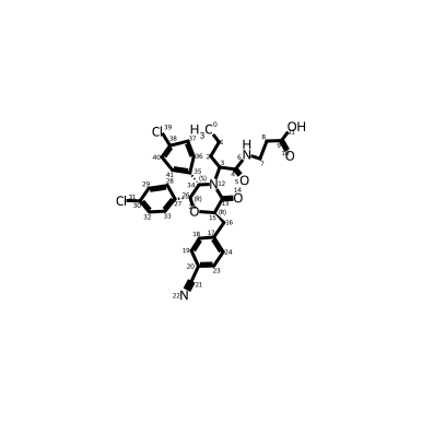 CCCC(C(=O)NCCC(=O)O)N1C(=O)[C@@H](Cc2ccc(C#N)cc2)O[C@H](c2ccc(Cl)cc2)[C@@H]1c1ccc(Cl)cc1